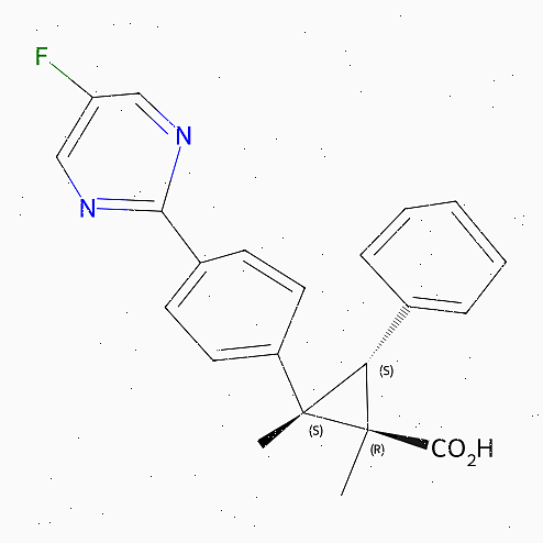 C[C@@]1(C(=O)O)[C@@H](c2ccccc2)[C@@]1(C)c1ccc(-c2ncc(F)cn2)cc1